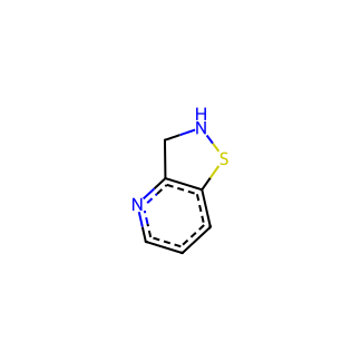 c1cnc2c(c1)SNC2